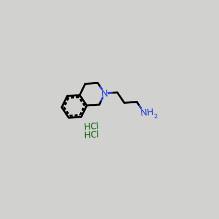 Cl.Cl.NCCCN1CCc2ccccc2C1